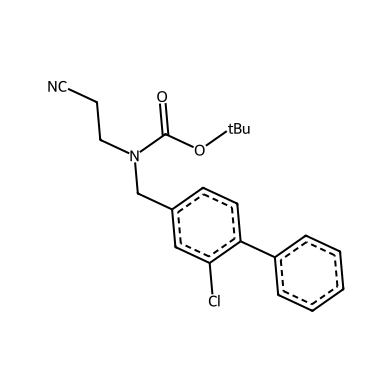 CC(C)(C)OC(=O)N(CCC#N)Cc1ccc(-c2ccccc2)c(Cl)c1